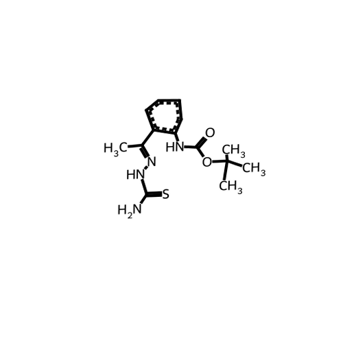 CC(=NNC(N)=S)c1ccccc1NC(=O)OC(C)(C)C